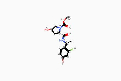 C[C@H](NC(=O)[C@@H]1C[C@@H](O)CN1C(=O)OC(C)(C)C)c1ccc(Br)cc1F